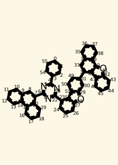 c1ccc(-c2nc(-c3cc4ccccc4c4ccccc34)nc(-c3cccc4oc5cc(-c6cc7ccccc7c7oc8ccccc8c67)ccc5c34)n2)cc1